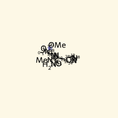 C=CC(=O)N1C[C@@H](n2nc(C#Cc3ccc4nn(C)cc4c3)c(C(N)=O)c2NC)C/C1=C\OC